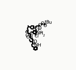 CC(CCN(C)C(=O)[C@@H](Cc1cc(Cl)c(N)c(C(F)(F)F)c1)OC(=O)N1CCC(N2CCc3ccccc3NC2=O)CC1)C1CCN(CCC(=O)OCOC(=O)C(C)(C)C)CC1